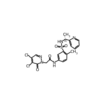 Cc1ccc(NC(=O)Cn2ncc(Cl)c(Cl)c2=O)cc1S(=O)(=O)N[C@H](C)c1ccccn1